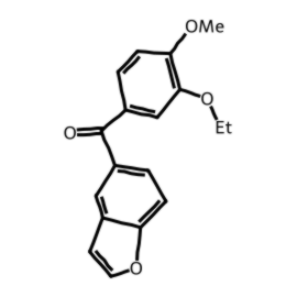 CCOc1cc(C(=O)c2ccc3occc3c2)ccc1OC